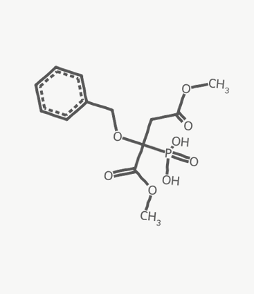 COC(=O)CC(OCc1ccccc1)(C(=O)OC)P(=O)(O)O